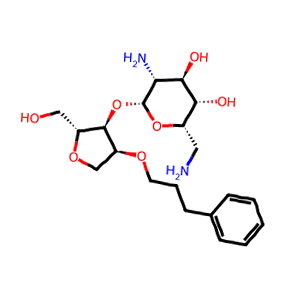 NC[C@@H]1O[C@H](O[C@H]2[C@@H](OCCCc3ccccc3)CO[C@@H]2CO)[C@H](N)[C@@H](O)[C@@H]1O